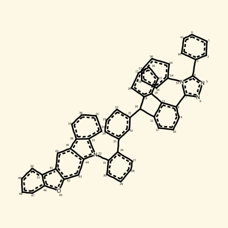 c1ccc(-c2nnc(-c3cccc4c3-c3ccccc3C4c3cccc(-c4ccccc4-n4c5ccccc5c5cc6c(cc54)oc4ccccc46)c3)n2-c2ccccc2)cc1